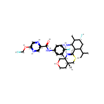 CC(C)C1C[C@@H](F)C(C)C(N)C1C1=N[C@@]2(c3cc(NC(=O)c4cnc(OCF)cn4)ccc3F)COCC[C@H]2CS1